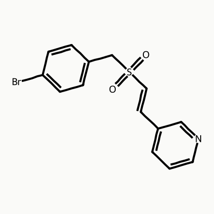 O=S(=O)(C=Cc1cccnc1)Cc1ccc(Br)cc1